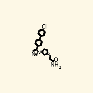 NC(=O)CC[C@@H]1CC[C@@H](n2cncc2-c2ccc(-c3ccc(Cl)cc3)cc2)C1